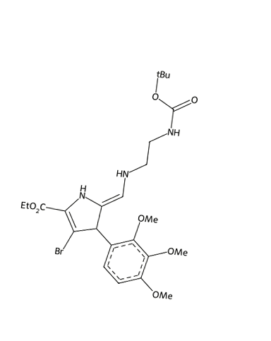 CCOC(=O)C1=C(Br)C(c2ccc(OC)c(OC)c2OC)C(=CNCCNC(=O)OC(C)(C)C)N1